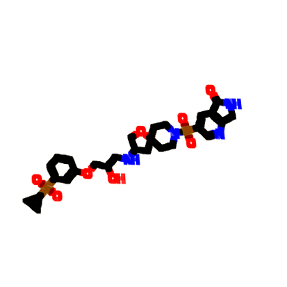 O=C1NCc2ncc(S(=O)(=O)N3CCC4(CC3)CC(NCC(O)COc3cccc(S(=O)(=O)C5CC5)c3)CO4)cc21